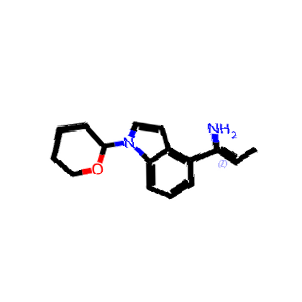 C/C=C(\N)c1cccc2c1ccn2C1CCCCO1